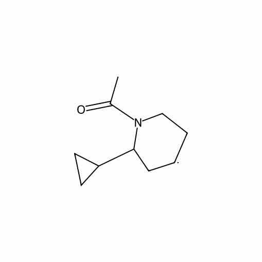 CC(=O)N1CC[CH]CC1C1CC1